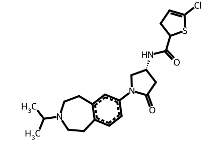 CC(C)N1CCc2ccc(N3C[C@H](NC(=O)C4CC=C(Cl)S4)CC3=O)cc2CC1